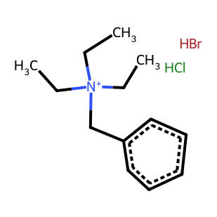 Br.CC[N+](CC)(CC)Cc1ccccc1.Cl